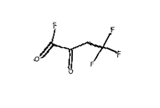 O=C(F)C(=O)CC(F)(F)F